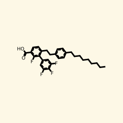 CCCCCCCCCc1ccc(CCc2ccc(C(=O)O)c(F)c2-c2cc(F)c(F)c(F)c2)cc1